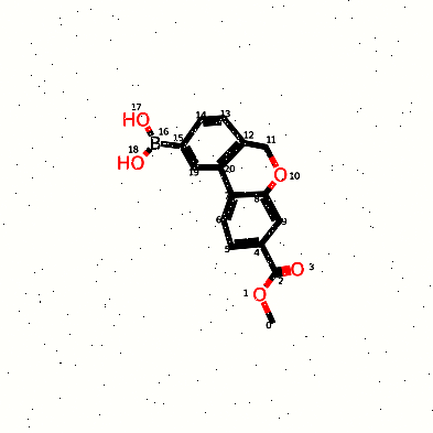 COC(=O)c1ccc2c(c1)OCc1ccc(B(O)O)cc1-2